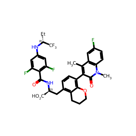 CC[C@@H](Nc1cc(F)c(C(=O)N[C@@H](Cc2ccc(-c3c(C)c4cc(F)ccc4n(C)c3=O)c3c2CCCO3)C(=O)O)c(F)c1)C(F)(F)F